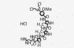 COc1cc(C(=O)Nc2c[nH]c(C(=O)Nc3c[nH]c(C(=O)Nc4c[nH]c(C(=O)NCCC(=N)N)c4C)c3C)c2C)ccc1N(CCCl)CCCl.Cl